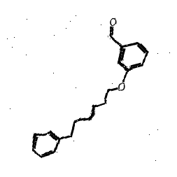 O=[C]c1cccc(OCCCCCCc2ccccc2)c1